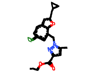 CCOC(=O)c1cc(C)n(Cc2cc(Cl)cc3cc(C4CC4)oc23)n1